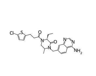 CC[C@H]1C(=O)N(Cc2ccc3c(N)ncnc3c2)C(C)CN1C(=O)CCc1ccc(Cl)s1